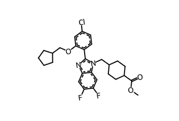 COC(=O)C1CCC(Cn2c(-c3ccc(Cl)cc3OCC3CCCC3)nc3cc(F)c(F)cc32)CC1